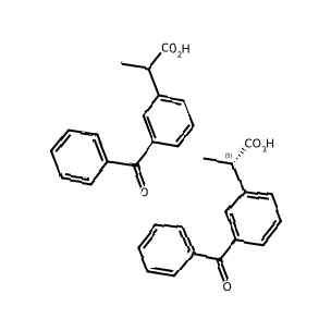 CC(C(=O)O)c1cccc(C(=O)c2ccccc2)c1.C[C@H](C(=O)O)c1cccc(C(=O)c2ccccc2)c1